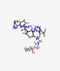 COC(=O)C1CN(C(=O)N2Cc3cc(F)c(C(=O)Nc4cccc(-c5nncn5C(C)C)n4)cc3-n3cnc(C4CC4)c3C2)C1